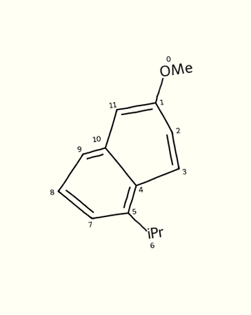 COc1ccc2c(C(C)C)cccc2c1